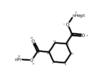 CCCCCCCOC(=O)C1CCCC(C(=O)OCCC)C1